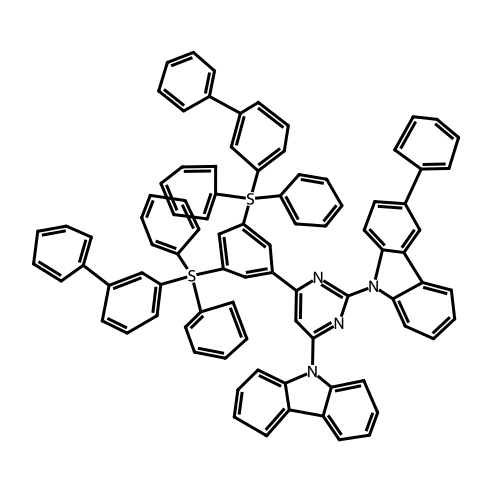 c1ccc(-c2cccc(S(c3ccccc3)(c3ccccc3)c3cc(-c4cc(-n5c6ccccc6c6ccccc65)nc(-n5c6ccccc6c6cc(-c7ccccc7)ccc65)n4)cc(S(c4ccccc4)(c4ccccc4)c4cccc(-c5ccccc5)c4)c3)c2)cc1